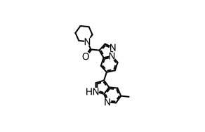 Cc1cnc2[nH]cc(-c3ccn4ncc(C(=O)N5CCCCC5)c4c3)c2c1